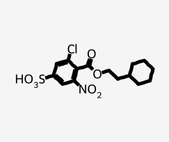 O=C(OCCC1CCCCC1)c1c(Cl)cc(S(=O)(=O)O)cc1[N+](=O)[O-]